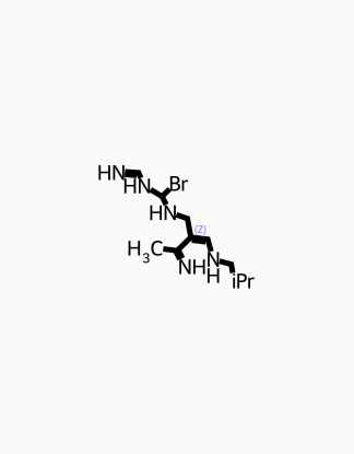 CC(=N)/C(=C\NCC(C)C)CNC(Br)NC=N